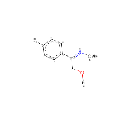 CCOC/C(=N\OC)c1ccc(C)cc1